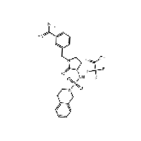 N=C(N)c1cccc(CN2CC[C@H](NS(=O)(=O)N3CCc4ccccc4C3)C2=O)c1.O=C(O)C(F)(F)F